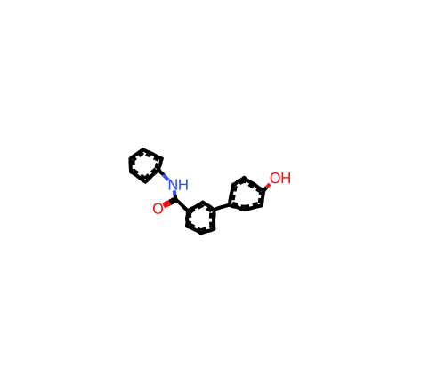 O=C(Nc1ccccc1)c1cccc(-c2ccc(O)cc2)c1